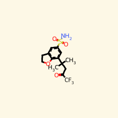 CC(C)(CC(=O)C(F)(F)F)c1cc(S(N)(=O)=O)cc2c1OCC2